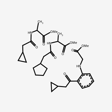 COC(=O)C(C)NC(=O)CC1CC1.COC(=O)C(C)NC(=O)CC1CCCC1.COC(=O)CNc1ccccc1C(=O)CC1CC1